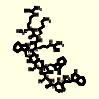 CC[C@H](C)[C@H](NC(=O)[C@H](Cc1c[nH]c2ccccc12)NC(=O)[C@@H](NC(=O)[C@H](CC(C)C)NC(=O)[C@@H](N)Cc1c[nH]c2ccccc12)C(C)C)C(=O)N[C@@H](Cc1c[nH]c2ccccc12)C(=O)N[C@@H](CCCNC(=N)N)C(=O)N[C@@H](CCCCN)C(=O)N[C@@H](CCCNC(=N)N)C(=O)O